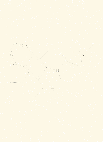 COc1c([N+](=O)[O-])c(N(C)C(=O)OC(C)(C)C)c(Cl)c2cccnc12